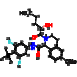 COc1ccc2c(c1)CCN(C(=O)[C@@H](O)CCC(=O)O)C2C(=O)Nc1cc(F)c([Si](C)(C)C)c(F)c1